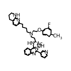 CC(=O)[C@H](CCN(CCCCc1ccc2c(n1)NCCC2)CCOC1=C/C(F)=C\C(C)C\C=C\1)Nc1c2ccccc2nc(-c2cccnc2)[n+]1O